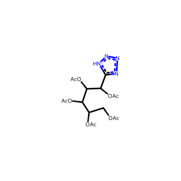 CC(=O)OCC(OC(C)=O)C(OC(C)=O)C(OC(C)=O)C(OC(C)=O)c1nnn[nH]1